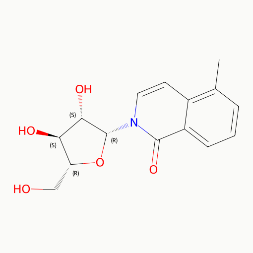 Cc1cccc2c(=O)n([C@@H]3O[C@H](CO)[C@@H](O)[C@@H]3O)ccc12